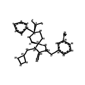 CN(C)[C@]1(c2ccccc2)CC[C@@]2(CC1)CN(Cc1cccc(Br)c1)C(=O)N2CC1CCC1